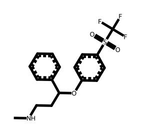 CNCCC(Oc1ccc(S(=O)(=O)C(F)(F)F)cc1)c1ccccc1